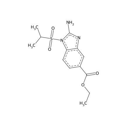 CCOC(=O)c1ccc2c(c1)nc(N)n2S(=O)(=O)C(C)C